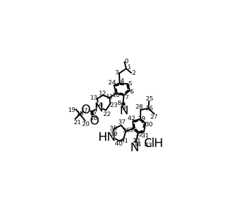 CC(C)Cc1ccc(C#N)c(C2CCN(C(=O)OC(C)(C)C)CC2)c1.CC(C)Cc1ccc(C#N)c(C2CCNCC2)c1.Cl